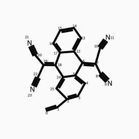 C=Cc1ccc2c(=C(C#N)C#N)c3ccccc3c(=C(C#N)C#N)c2c1